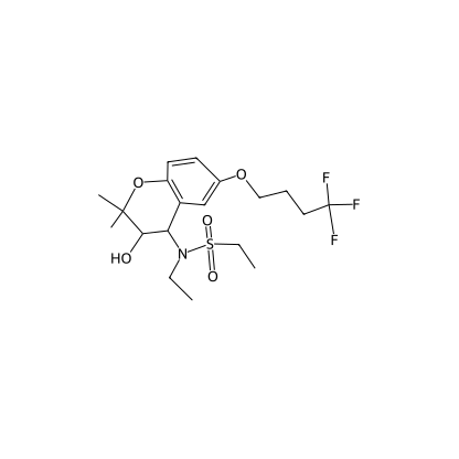 CCN(C1c2cc(OCCCC(F)(F)F)ccc2OC(C)(C)C1O)S(=O)(=O)CC